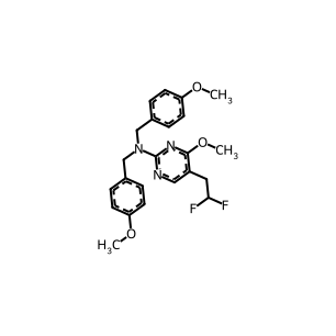 COc1ccc(CN(Cc2ccc(OC)cc2)c2ncc(CC(F)F)c(OC)n2)cc1